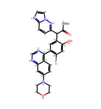 CNC(=O)C(c1ccc2nccn2n1)c1cc(-c2ncnc3cc(N4CCOCC4)ccc23)c(F)cc1O